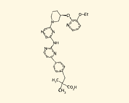 CCOc1cccnc1O[C@@H]1CCCN(c2cncc(Nc3nccc(-c4ccc(CC(C)(C)C(=O)O)cc4)n3)n2)C1